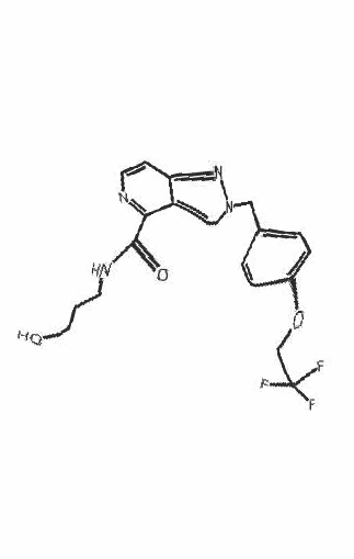 O=C(NCCCO)c1nccc2nn(Cc3ccc(OCC(F)(F)F)cc3)cc12